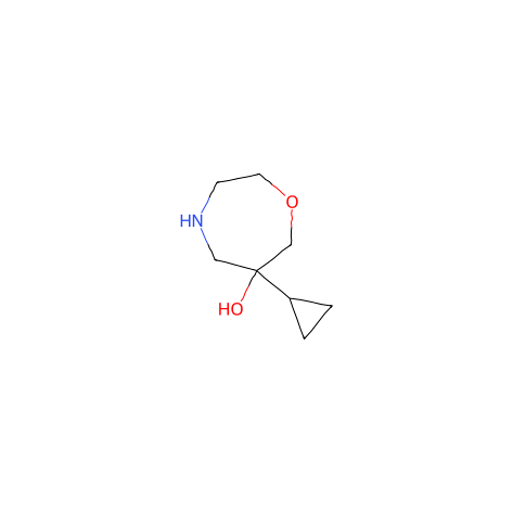 OC1(C2CC2)CNCCOC1